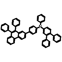 c1ccc(-c2ccc(N(c3ccccc3)c3ccc(-c4ccc5c(c4)c(-c4ccccc4)c(-c4ccccc4)c4ccccc45)cc3)cc2-c2ccccc2)cc1